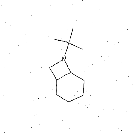 CC(C)(C)N1CC2CCCCC21